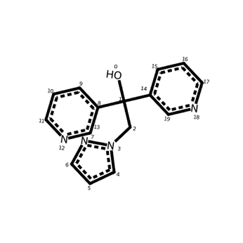 OC(Cn1cccn1)(c1cccnc1)c1cccnc1